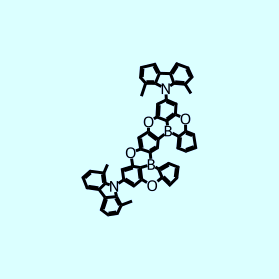 Cc1cccc2c3cccc(C)c3n(-c3cc4c5c(c3)Oc3cc6c(cc3B5c3ccccc3O4)B3c4ccccc4Oc4cc(-n5c7c(C)cccc7c7cccc(C)c75)cc(c43)O6)c12